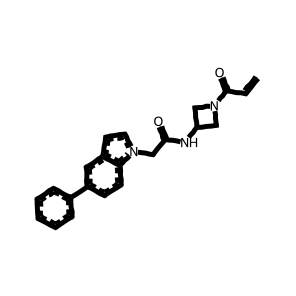 C=CC(=O)N1CC(NC(=O)Cn2ccc3cc(-c4ccccc4)ccc32)C1